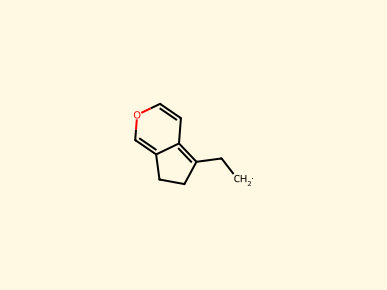 [CH2]CC1=C2C=COC=C2CC1